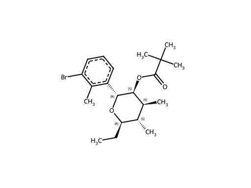 CC[C@H]1O[C@H](c2cccc(Br)c2C)[C@@H](OC(=O)C(C)(C)C)[C@@H](C)[C@@H]1C